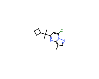 Cc1cnn2c(Cl)cc(C(C)(C)C3CCC3)nc12